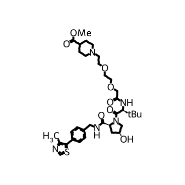 COC(=O)C1CCN(CCOCCOCC(=O)N[C@H](C(=O)N2C[C@H](O)C[C@H]2C(=O)NCc2ccc(-c3scnc3C)cc2)C(C)(C)C)CC1